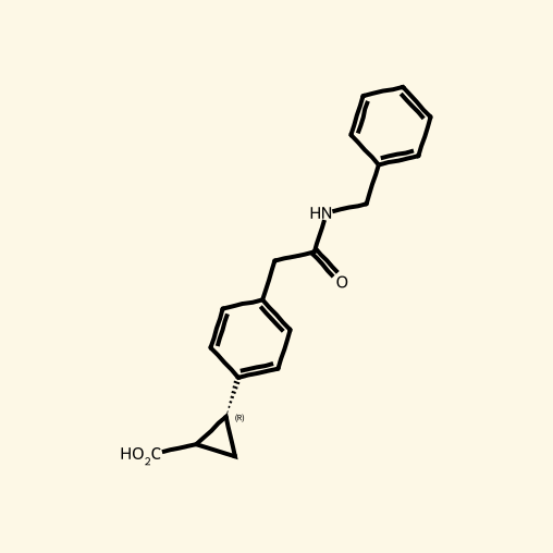 O=C(Cc1ccc([C@@H]2CC2C(=O)O)cc1)NCc1ccccc1